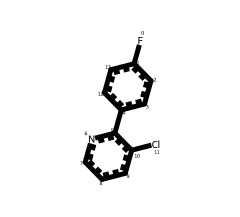 Fc1ccc(-c2ncccc2Cl)cc1